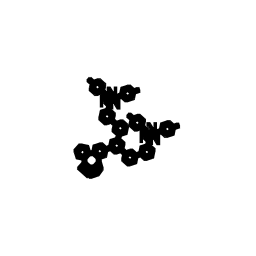 Cc1ccc(-c2nc(-c3ccc(C)cc3)nc(-c3cccc(-c4cccc(-c5cc(-c6cccc(-c7cccc(-c8nc(-c9ccc(C)cc9)nc(-c9ccc(C)cc9)n8)c7)c6)cc(-c6ccc7c(c6)C6CCC8CC9(C6)C(CC89)c6ccccc6-7)c5)c4)c3)n2)cc1